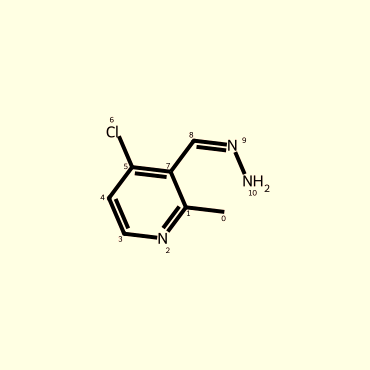 Cc1nccc(Cl)c1/C=N\N